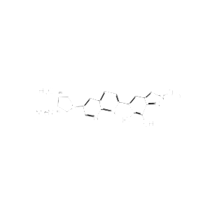 CN[C@H]1CN(c2cnc3nc(-c4cc5cn(C)nc5c(C)c4O)ccc3c2)C[C@H]1C